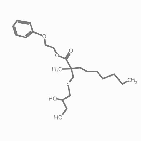 CCCCCCCC(C)(CSCC(O)CO)C(=O)OCCOc1ccccc1